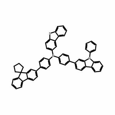 c1ccc(-n2c3ccccc3c3ccc(-c4ccc(N(c5ccc(-c6ccc7c(c6)C6(CCCC6)c6ccccc6-7)cc5)c5ccc6sc7ccccc7c6c5)cc4)cc32)cc1